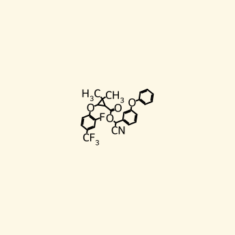 CC1(C)C(Oc2ccc(C(F)(F)F)cc2F)C1C(=O)OC(C#N)c1cccc(Oc2ccccc2)c1